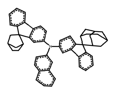 c1ccc2c(c1)-c1ccc(N(c3ccc4c(c3)-c3ccccc3C43C4CCC5CC(C4)CC3C5)c3ccc4ccccc4c3)cc1C21CC2CCC1C2